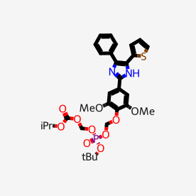 COc1cc(-c2nc(-c3ccccc3)c(-c3cccs3)[nH]2)cc(OC)c1OCOP(=O)(OCOC(=O)OC(C)C)OC(C)(C)C